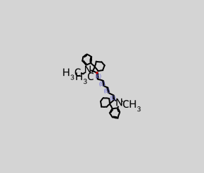 CCN1/C(=C/C=C/C=C/C=C/C2(C)N(CC)c3ccccc3C23CCCCC3)C2(CCCCC2)c2ccccc21